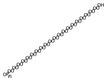 O=P(=O)OOOOOOOOOOOOOOOOOOOOOOOOOOOOOOOOOOOOOOOOO